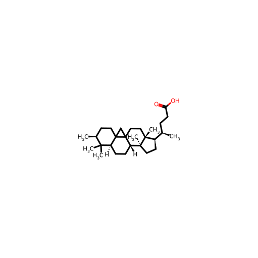 C[C@H](CCC(=O)O)[C@H]1CC[C@@]2(C)[C@@H]3CC[C@H]4C(C)(C)[C@@H](C)CCC45CC35CC[C@]12C